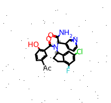 CC(=O)c1ccc(O)c(C(=O)N([C@@H]2CCc3c(F)cc(Cl)cc32)[C@@H](C(N)=O)c2cccnc2)c1